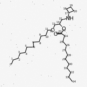 CCCCCCCCCCCCOCC(CNC1CCC1)OC(=O)CCCCCCCCCCC